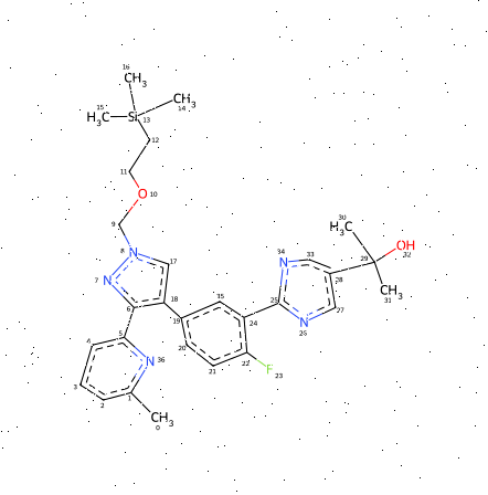 Cc1cccc(-c2nn(COCC[Si](C)(C)C)cc2-c2ccc(F)c(-c3ncc(C(C)(C)O)cn3)c2)n1